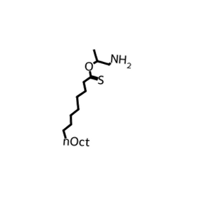 CCCCCCCCCCCCCCCC(=S)OC(C)CN